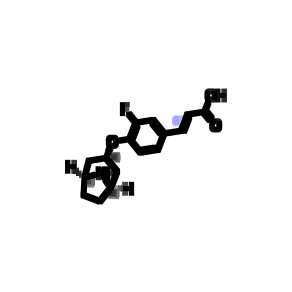 O=C(O)/C=C/c1ccc(O[C@H]2C[C@H]3CC[C@@H](C2)N3)c(F)c1